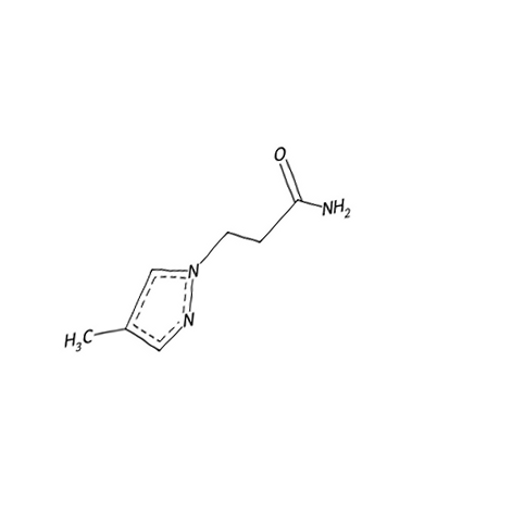 Cc1cnn(CCC(N)=O)c1